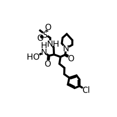 CS(=O)(=O)CNCC(C(=O)NO)C(CCCc1ccc(Cl)cc1)C(=O)N1CCCCC1